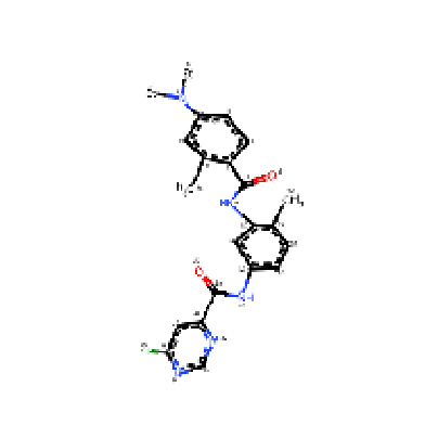 CCN(CC)c1ccc(C(=O)Nc2cc(NC(=O)c3cc(Cl)ncn3)ccc2C)c(C)c1